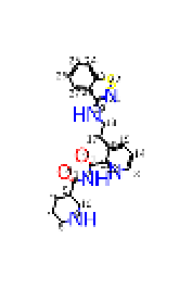 O=C(NC(=O)C1CCCNC1)c1ncccc1CCNc1nsc2ccccc12